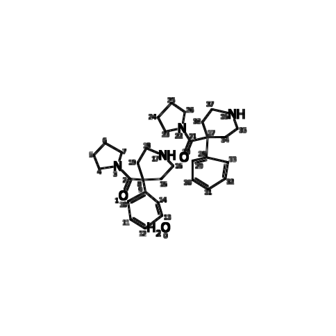 O.O=C(N1CCCC1)C1(c2ccccc2)CCNCC1.O=C(N1CCCC1)C1(c2ccccc2)CCNCC1